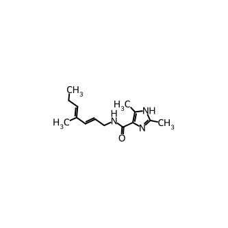 CCC=C(C)C=CCNC(=O)c1nc(C)[nH]c1C